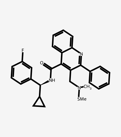 CSN(C)Cc1c(-c2ccccc2)nc2ccccc2c1C(=O)N[C@H](c1cccc(F)c1)C1CC1